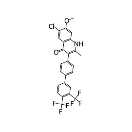 COc1cc2[nH]c(C)c(-c3ccc(-c4ccc(C(F)(F)F)c(C(F)(F)F)c4)cc3)c(=O)c2cc1Cl